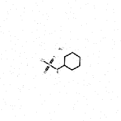 O=S(=O)([O-])NC1CCCCC1.[Ag+]